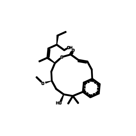 CC[C@H](/C=C(/C)[C@@H]1C[C@@H](OC)C[C@H](O)C(C)(C)c2cccc(c2)C/C=C/C(=O)O1)CO